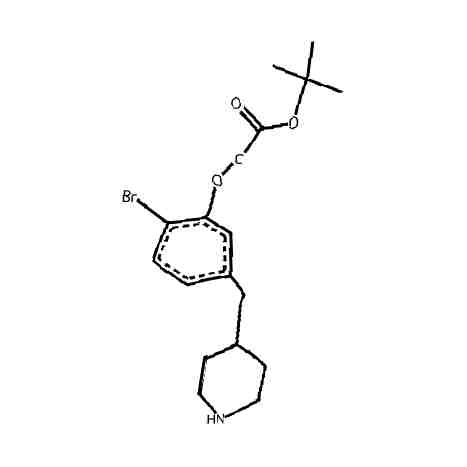 CC(C)(C)OC(=O)COc1cc(CC2CCNCC2)ccc1Br